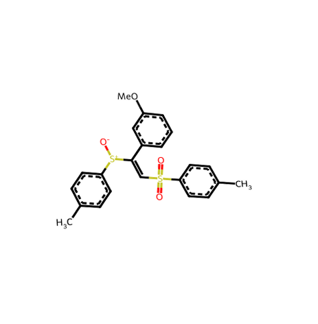 COc1cccc(/C(=C\S(=O)(=O)c2ccc(C)cc2)[S+]([O-])c2ccc(C)cc2)c1